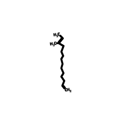 C=CCCCCCCCCC/C(C)=C/C